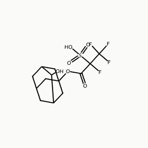 O=C(OC12CC3CC(C1)C(O)C(C3)C2)C(F)(C(F)(F)F)S(=O)(=O)O